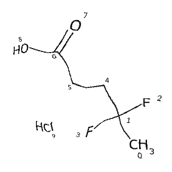 CC(F)(F)CCC(=O)O.Cl